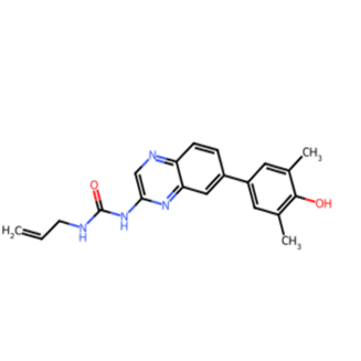 C=CCNC(=O)Nc1cnc2ccc(-c3cc(C)c(O)c(C)c3)cc2n1